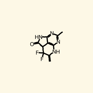 C=C1Nc2nc(C)nc3c2C(C)(C(=O)N3)C1(F)F